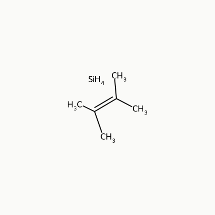 CC(C)=C(C)C.[SiH4]